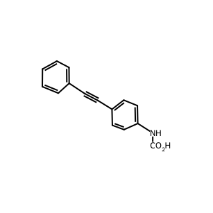 O=C(O)Nc1ccc(C#Cc2ccccc2)cc1